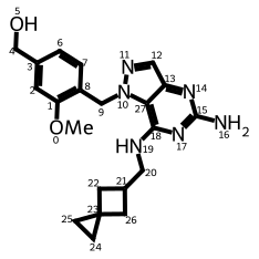 COc1cc(CO)ccc1Cn1ncc2nc(N)nc(NCC3CC4(CC4)C3)c21